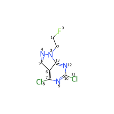 FCCn1ncc2c(Cl)nc(Cl)nc21